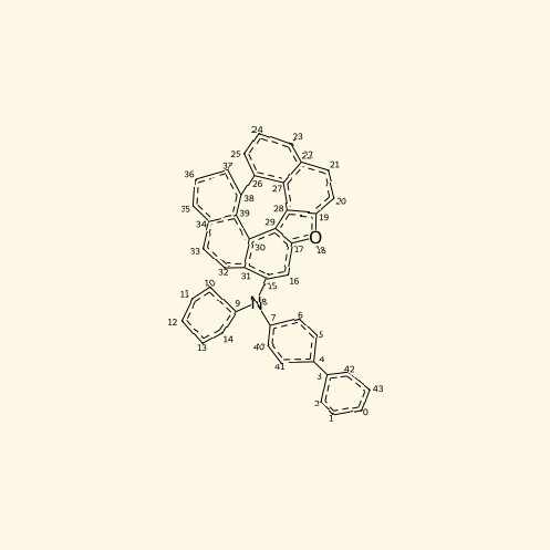 c1ccc(-c2ccc(N(c3ccccc3)c3cc4oc5ccc6cccc7c6c5c4c4c3ccc3cccc-7c34)cc2)cc1